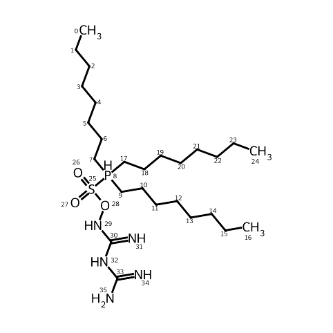 CCCCCCCC[PH](CCCCCCCC)(CCCCCCCC)S(=O)(=O)ONC(=N)NC(=N)N